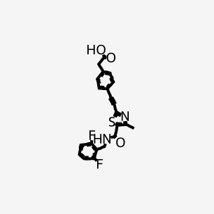 Cc1nc(C#Cc2ccc(CC(=O)O)cc2)sc1C(=O)NCc1c(F)cccc1F